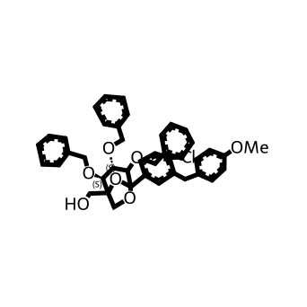 COc1ccc(Cc2cc(C34OCC(CO)(O3)[C@@H](OCc3ccccc3)[C@H](OCc3ccccc3)C4OCc3ccccc3)ccc2Cl)cc1